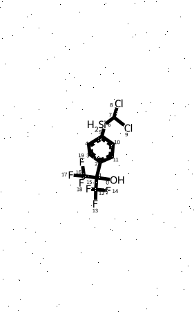 OC(c1ccc([SiH2]C(Cl)Cl)cc1)(C(F)(F)F)C(F)(F)F